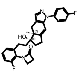 C[C@]12Cc3cnn(-c4ccc(F)cc4)c3C=C1CC[C@@]2(O)CCc1cccc(F)c1N1CCC1=O